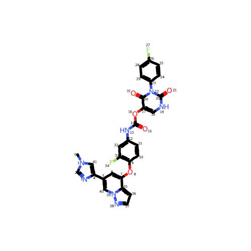 Cn1cnc(-c2cc(Oc3ccc(NC(=O)Oc4c[nH]c(=O)n(-c5ccc(F)cc5)c4=O)cc3F)c3ccnn3c2)c1